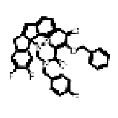 O=C1c2c(OCc3ccccc3)c(=O)ccn2N(C23C(=Cc4ccccc42)Cc2cc(F)c(F)cc23)CN1Cc1ccc(F)cc1